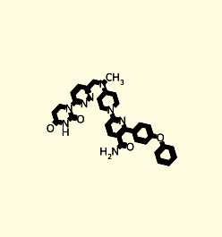 CN(Cc1ccc(N2CCC(=O)NC2=O)nn1)C1CCN(c2ccc(C(N)=O)c(-c3ccc(Oc4ccccc4)cc3)n2)CC1